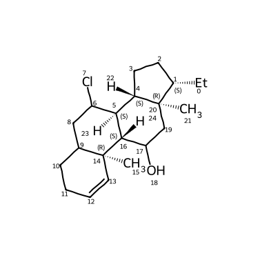 CC[C@H]1CC[C@H]2[C@@H]3C(Cl)CC4CCC=C[C@]4(C)[C@H]3C(O)C[C@]12C